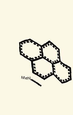 CNC.c1cc2ccc3cccc4ccc(c1)c2c34